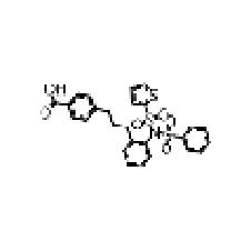 O=C(O)c1ccc(CCCc2ccccc2N(S(=O)(=O)c2ccccc2)S(=O)(=O)c2cccs2)cc1